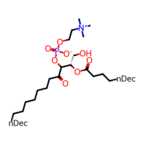 CCCCCCCCCCCCCCCCCC(=O)C(OP(=O)([O-])OCC[N+](C)(C)C)[C@H](CO)OC(=O)CCCCCCCCCCCCC